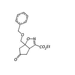 CCOC(=O)C1=NOC2(COCc3ccccc3)CC(=O)CC12